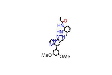 C=CC(=O)Nc1cccc(C)c1Nc1ncc2cc(-c3cc(OC)cc(OC)c3)c3nccn3c2n1